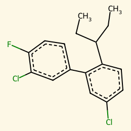 CCC(CC)c1ccc(Cl)cc1-c1ccc(F)c(Cl)c1